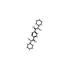 O=C(c1ccc(C(=O)N(I)C2CCCCC2)cc1)N(I)C1CCCCC1